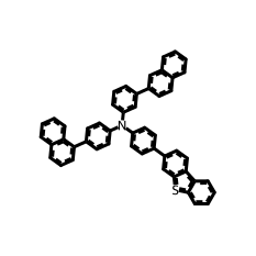 c1cc(-c2ccc3ccccc3c2)cc(N(c2ccc(-c3ccc4c(c3)sc3ccccc34)cc2)c2ccc(-c3cccc4ccccc34)cc2)c1